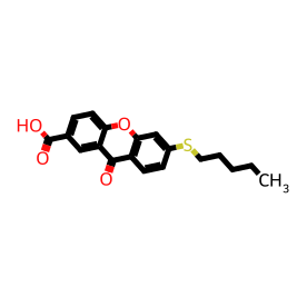 CCCCCSc1ccc2c(=O)c3cc(C(=O)O)ccc3oc2c1